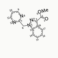 COC(=O)c1nn(Cc2ncccn2)c2ccccc12